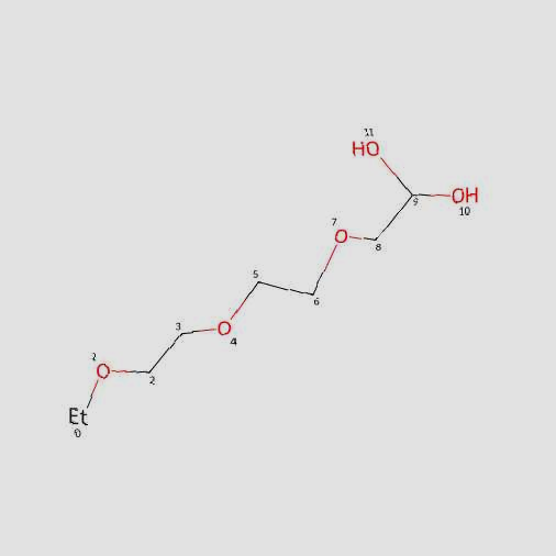 CCOCCOCCOCC(O)O